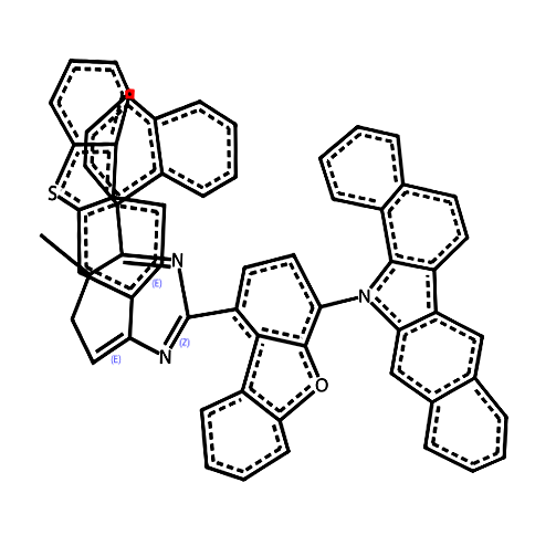 CC1C/C=C(c2ccc3c(c2)sc2ccccc23)/N=C(c2ccc(-n3c4cc5ccccc5cc4c4ccc5ccccc5c43)c3oc4ccccc4c23)\N=C/1c1cccc2ccccc12